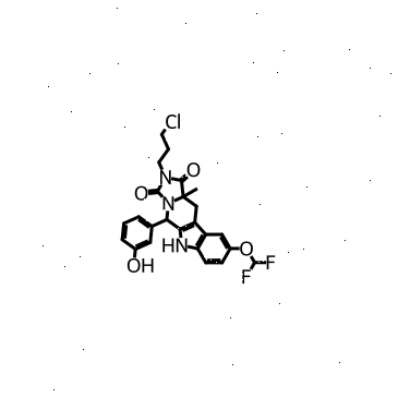 CC12Cc3c([nH]c4ccc(OC(F)F)cc34)C(c3cccc(O)c3)N1C(=O)N(CCCCl)C2=O